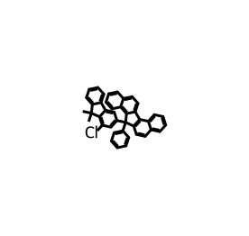 CC1(C)c2ccccc2-c2cc(C3(c4ccccc4)c4ccc5ccccc5c4-c4ccc5ccccc5c43)cc(Cl)c21